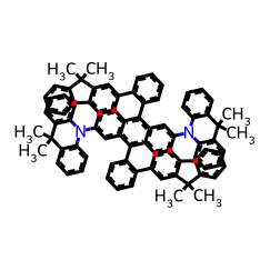 CC1(C)c2ccccc2-c2ccc(-c3ccccc3-c3c4ccc(N5c6ccccc6C(C)(C)c6ccccc65)cc4c(-c4ccccc4-c4ccc5c(c4)C(C)(C)c4ccccc4-5)c4ccc(N5c6ccccc6C(C)(C)c6ccccc65)cc34)cc21